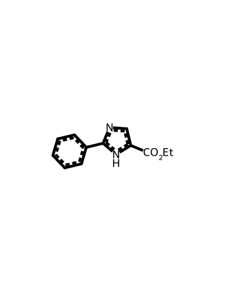 CCOC(=O)c1cnc(-c2ccccc2)[nH]1